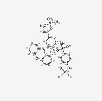 CC(C)(C)OC(=O)N1C[C@H](NS(=O)(=O)c2ccc(OC(F)(F)F)cc2)[C@@H](O)[C@H](N2c3ccccc3Oc3ccccc32)C1